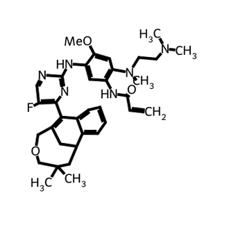 C=CC(=O)Nc1cc(Nc2ncc(F)c(C3=C4COCC(C)(C)CC(C4)c4ccccc43)n2)c(OC)cc1N(C)CCN(C)C